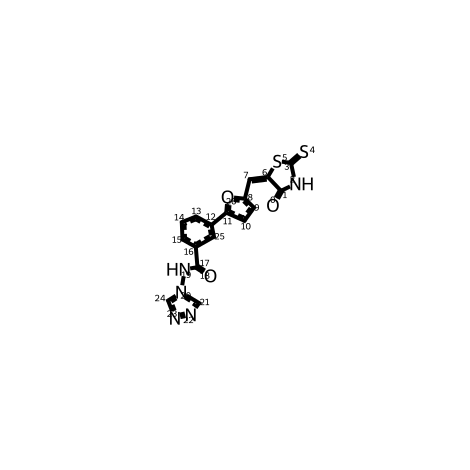 O=C1NC(=S)S/C1=C/c1ccc(-c2cccc(C(=O)Nn3cnnc3)c2)o1